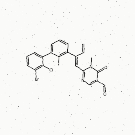 C=C/C(=C\c1ncc(C=O)c(=O)n1C)c1cccc(-c2cccc(Br)c2Cl)c1C